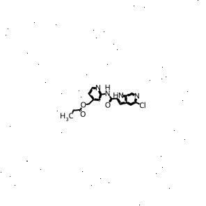 CCC(=O)OCc1ccnc(NC(=O)c2cc3cc(Cl)ncc3[nH]2)c1